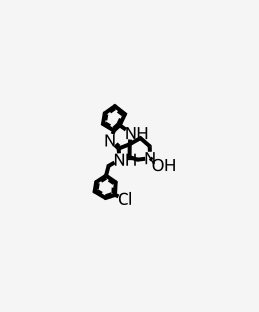 ON1CCC2(CC1)Nc1ccccc1N=C2NCc1cccc(Cl)c1